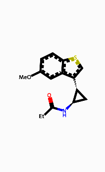 CCC(=O)N[C@@H]1C[C@H]1c1csc2ccc(OC)cc12